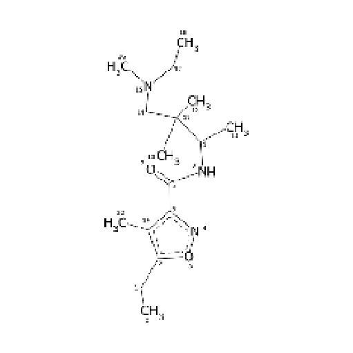 CCc1onc(C(=O)NC(C)C(C)(C)CN(C)CC)c1C